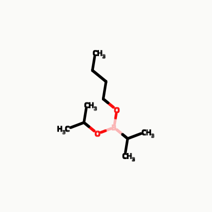 CCCCOB(OC(C)C)C(C)C